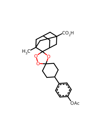 CC(=O)Oc1ccc(C2CCC3(CC2)OOC2(O3)C3CC4CC(C(=O)O)(C3)CC2(C)C4)cc1